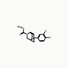 CC(C)(C)OC(=O)N1C=CC2(c3ccc(Cl)c(Cl)c3)C[C@]2(CO)C1